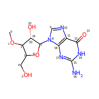 COC1C(CO)OC(n2cnc3c(=O)[nH]c(N)nc32)[C@H]1O